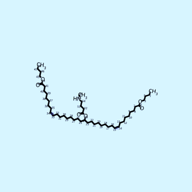 CCCCOC(=O)CCCCCCC/C=C\CCCCCCCCC(CCCCCCCC/C=C\CCCCCCCC(=O)OCCCC)OC(=O)CCCNC